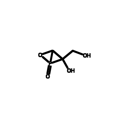 O=P12OC1C2(O)CO